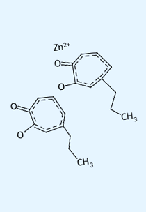 CCCc1cccc(=O)c([O-])c1.CCCc1cccc(=O)c([O-])c1.[Zn+2]